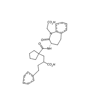 O=C(O)CN1C(=O)[C@@H](NC(=O)C2(CC(CCc3ccccc3)C(=O)O)CCCC2)CCc2ccccc21